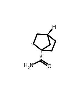 NC(=O)[C@@]12[CH]C[C@H](CC1)C2